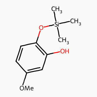 COc1ccc(O[Si](C)(C)C)c(O)c1